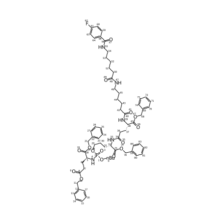 CCCCOP(=O)(N[C@@H](CCC(=O)OCc1ccccc1)C(=O)OCc1ccccc1)OCCC[C@H](NC(=O)CC[C@H](NC(=O)CCCCCNC(=O)CCCCCNC(=O)c1ccc(F)cc1)C(=O)OCc1ccccc1)C(=O)OCc1ccccc1